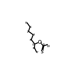 CCCCCC(CC)OC(C)=S